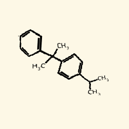 C[C](C)c1ccc(C(C)(C)c2cc[c]cc2)cc1